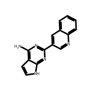 Nc1nc(-c2cnc3ccccc3c2)nc2[nH]ccc12